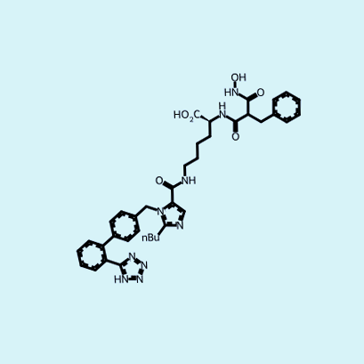 CCCCc1ncc(C(=O)NCCCC[C@H](NC(=O)C(Cc2ccccc2)C(=O)NO)C(=O)O)n1Cc1ccc(-c2ccccc2-c2nnn[nH]2)cc1